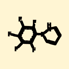 Fc1c(F)c(F)c(B2C=CC=CN2)c(F)c1F